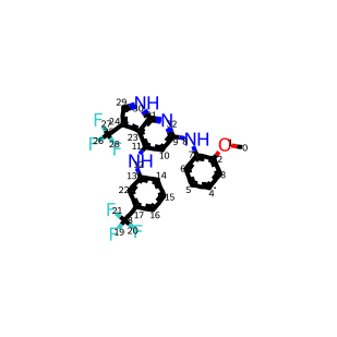 COc1c[c]ccc1Nc1cc(Nc2cccc(C(F)(F)F)c2)c2c(C(F)(F)F)c[nH]c2n1